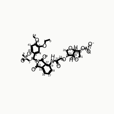 CCOc1cc([C@@H](CS(C)(=O)=O)N2C(=O)c3cccc(NC(=O)CO[C@H]4CO[C@H]5[C@@H]4OC[C@H]5O[N+](=O)[O-])c3C2=O)ccc1OC